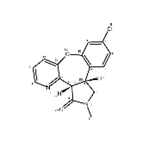 CN1C[C@H]2c3ccc(Cl)cc3Oc3cccnc3[C@H]2C1=O